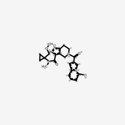 COCC1(N(C)C(=O)c2[nH]nc3c2CN(C(=O)c2cc4cccc(Cl)n4c2)CC3)CC1